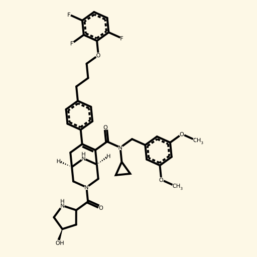 COc1cc(CN(C(=O)C2=C(c3ccc(CCCOc4c(F)ccc(F)c4F)cc3)C[C@@H]3CN(C(=O)C4C[C@@H](O)CN4)C[C@H]2N3)C2CC2)cc(OC)c1